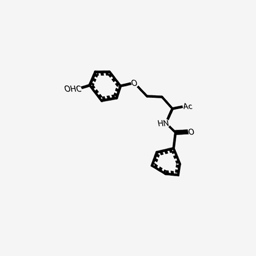 CC(=O)C(CCOc1ccc(C=O)cc1)NC(=O)c1ccccc1